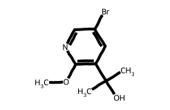 COc1ncc(Br)cc1C(C)(C)O